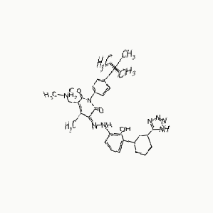 CC1=C(CN(C)C)C(=O)N(c2ccc(C(C)(C)C)cc2)C(=O)C1=NNc1cccc(C2CCCC(c3nnn[nH]3)C2)c1O